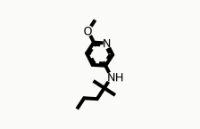 CCCC(C)(C)Nc1ccc(OC)nc1